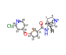 O=C(N[C@H]1CN2CCC1CC2)c1ccc(Oc2ccnc(Cl)c2)s1